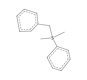 CS(C)(Cc1ccccc1)c1ccccc1